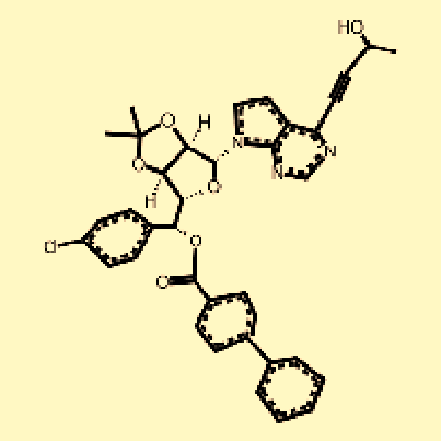 CC(O)C#Cc1ncnc2c1ccn2[C@@H]1O[C@H]([C@H](OC(=O)c2ccc(-c3ccccc3)cc2)c2ccc(Cl)cc2)[C@H]2OC(C)(C)O[C@H]21